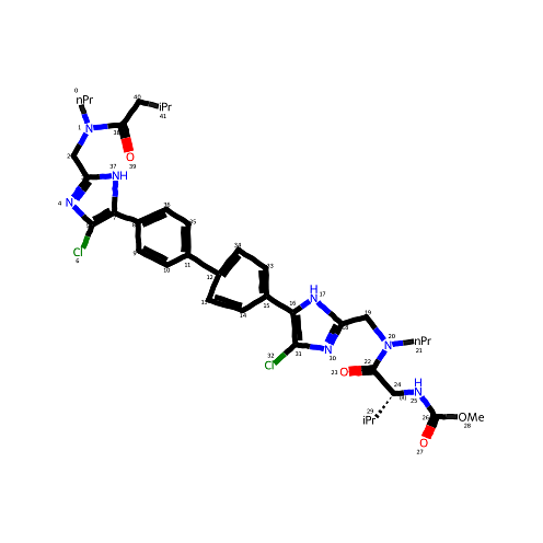 CCCN(Cc1nc(Cl)c(-c2ccc(-c3ccc(-c4[nH]c(CN(CCC)C(=O)[C@H](NC(=O)OC)C(C)C)nc4Cl)cc3)cc2)[nH]1)C(=O)CC(C)C